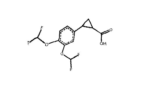 O=C(O)C1CC1c1ccc(OC(F)F)c(OC(F)F)c1